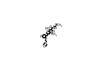 COCCNC(=O)c1c(O)c2ncc(Cc3ccc(F)cc3OCCN3CCOCC3)cc2n(C)c1=O